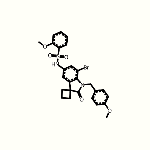 COc1ccc(CN2C(=O)C3(CCC3)c3cc(NS(=O)(=O)c4ccccc4OC)cc(Br)c32)cc1